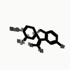 [2H]C([2H])=C1c2cc(Br)ccc2C[C@]12CC[C@@H](OC)[C@H](C)C2